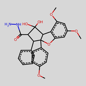 COc1ccc(C23Oc4cc(OC)cc(OC)c4C2C(O)(O)C(C(=O)NN)C3c2ccccc2)cc1